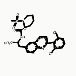 CS(=O)(=O)N1CCCC[C@H]1C(=O)N[C@@H](Cc1ccc2nc(-c3c(Cl)cccc3Cl)ccc2c1)C(=O)O